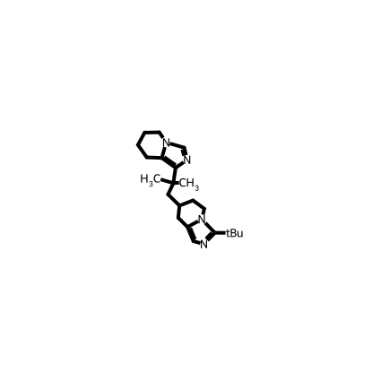 CC(C)(C)c1ncc2n1CCC(CC(C)(C)c1ncn3c1CCCC3)C2